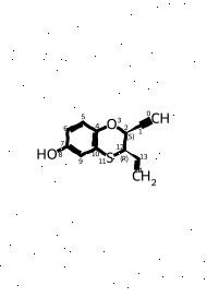 C#C[C@@H]1Oc2ccc(O)cc2S[C@@H]1C=C